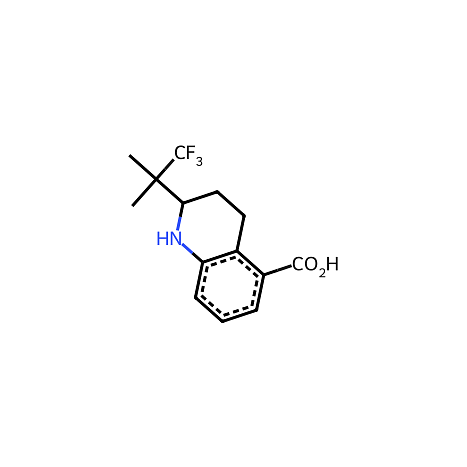 CC(C)(C1CCc2c(cccc2C(=O)O)N1)C(F)(F)F